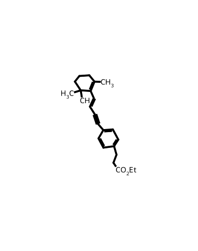 CCOC(=O)CCc1ccc(C#CC=CC2=C(C)CCCC2(C)C)cc1